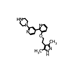 Cc1n[nH]c(C)c1CCOc1cccnc1-c1ccnc(N2CCNCC2)c1